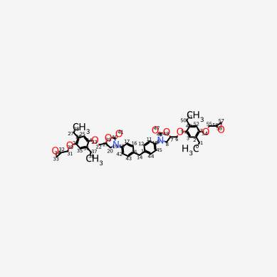 CCc1cc(OCC2CN(c3ccc(Cc4ccc(N5CC(COc6cc(CC)c(OCC7CO7)cc6CC)OC5=O)cc4)cc3)C(=O)O2)c(CC)cc1OCC1CO1